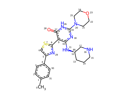 Cc1ccc(-c2csc(-c3c(N[C@@H]4CCCNC4)nc(N4CCOCC4)[nH]c3=O)n2)cc1